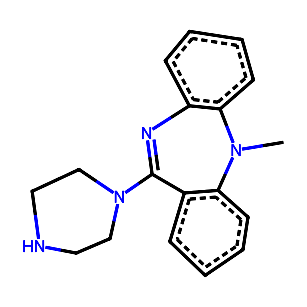 CN1c2ccccc2N=C(N2CCNCC2)c2ccccc21